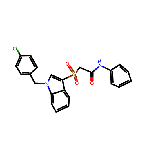 O=C(CS(=O)(=O)c1cn(Cc2ccc(Cl)cc2)c2ccccc12)Nc1ccccc1